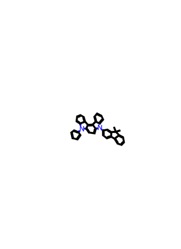 CC1(C)c2ccccc2-c2ccc(-n3c4ccccc4c4c5c6ccccc6n(-c6ccccc6)c5ccc43)cc21